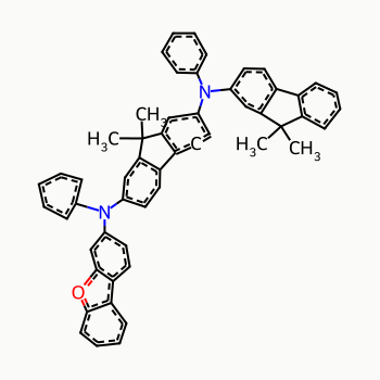 CC1(C)c2ccccc2-c2ccc(N(c3ccccc3)c3ccc4c(c3)C(C)(C)c3cc(N(c5ccccc5)c5ccc6c(c5)oc5ccccc56)ccc3-4)cc21